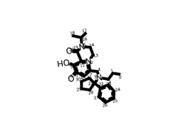 CCCN(Cc1cc(=O)c(O)c2n1CCN(C(C)C)C2=O)C1(c2ccccc2)CCCC1